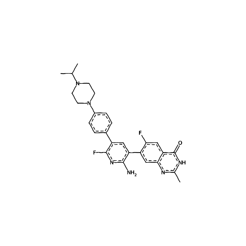 Cc1nc2cc(-c3cc(-c4ccc(N5CCN(C(C)C)CC5)cc4)c(F)nc3N)c(F)cc2c(=O)[nH]1